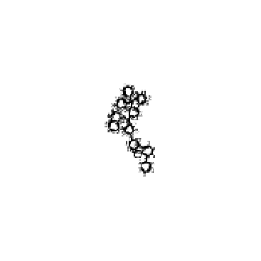 c1ccc(-c2cccc3c2oc2ccc(-c4ccc(N(c5ccc6c(c5)C(c5ccccc5)(c5ccccc5)c5ccccc5-6)c5cccc6ccccc56)cc4)cc23)cc1